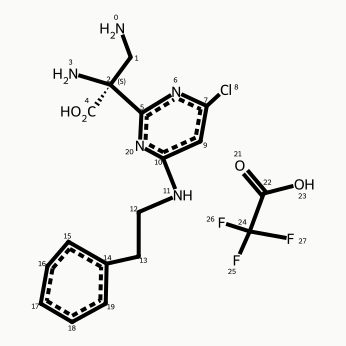 NC[C@@](N)(C(=O)O)c1nc(Cl)cc(NCCc2ccccc2)n1.O=C(O)C(F)(F)F